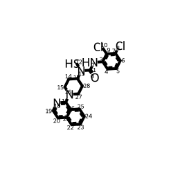 O=C(Nc1cccc(Cl)c1Cl)N(S)C1CCN(c2nccc3ccccc23)CC1